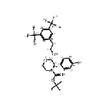 CC(C)(C)OC(=O)N1CCO[C@H](OCCc2cc(C(F)(F)F)cc(C(F)(F)F)c2)[C@@H]1c1ccc(I)cc1